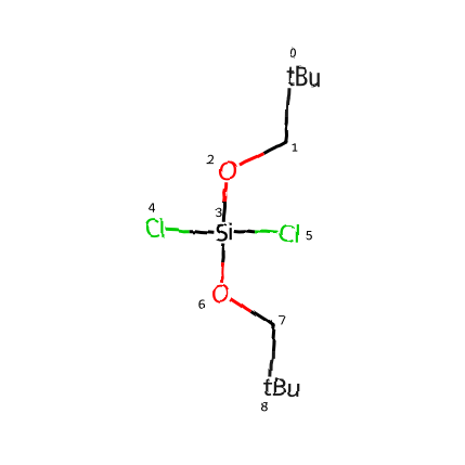 CC(C)(C)CO[Si](Cl)(Cl)OCC(C)(C)C